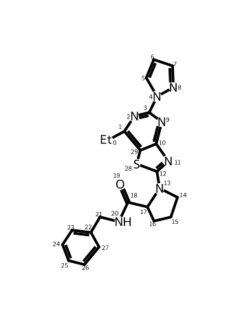 CCc1nc(-n2cccn2)nc2nc(N3CCCC3C(=O)NCc3ccccc3)sc12